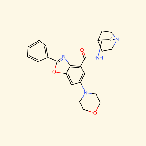 O=C(NC1CN2CCC1CC2)c1cc(N2CCOCC2)cc2oc(-c3ccccc3)nc12